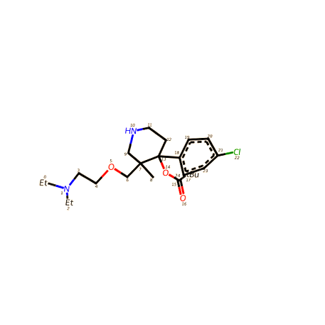 CCN(CC)CCOCC1(C)CNCCC1(OC(=O)C(C)(C)C)c1ccc(Cl)cc1